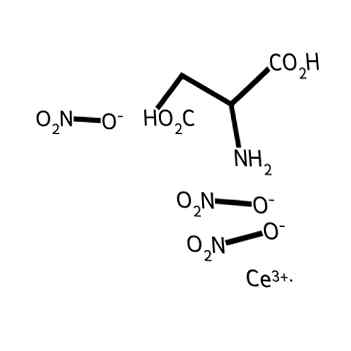 NC(CC(=O)O)C(=O)O.O=[N+]([O-])[O-].O=[N+]([O-])[O-].O=[N+]([O-])[O-].[Ce+3]